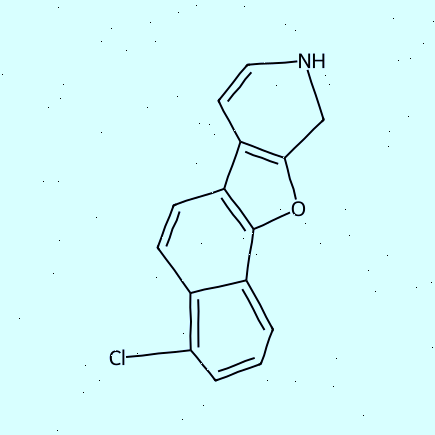 Clc1cccc2c1ccc1c3c(oc12)CNC=C3